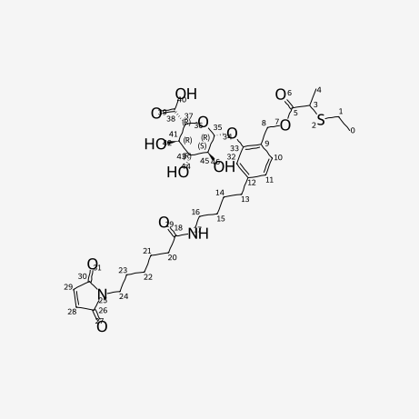 CCSC(C)C(=O)OCc1ccc(CCCCNC(=O)CCCCCN2C(=O)C=CC2=O)cc1O[C@H]1O[C@@H](C(=O)O)[C@H](O)[C@@H](O)[C@@H]1O